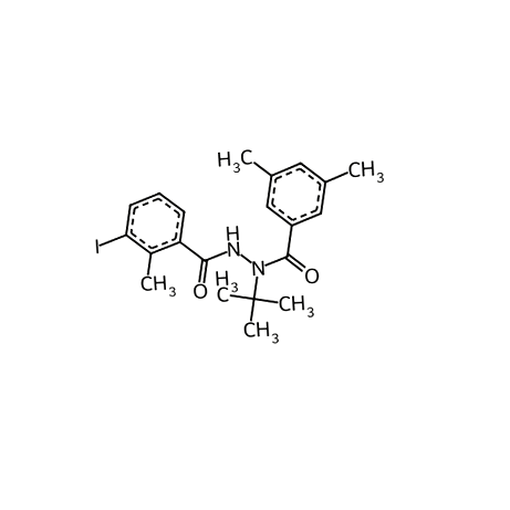 Cc1cc(C)cc(C(=O)N(NC(=O)c2cccc(I)c2C)C(C)(C)C)c1